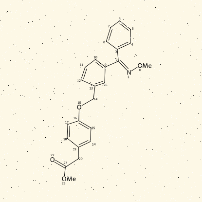 CO/N=C(\c1ccccc1)c1cccc(COc2ccc(CC(=O)OC)cc2)c1